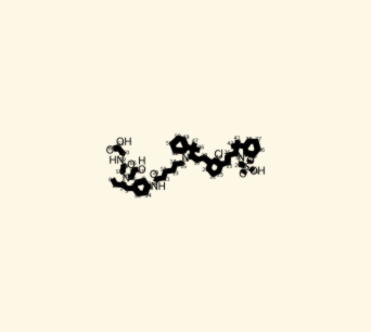 CCC(Cc1ccc(NC(=O)CCCCCN2/C(=C/C=C3\CCCC(/C=C/C4N(CS(=O)(=O)O)c5ccccc5C4(C)C)=C3Cl)C(C)(C)c3ccccc32)cc1)N(CCNCC(=O)O)CC(=O)O